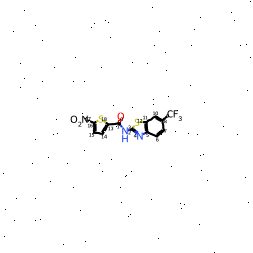 O=C(Nc1nc2ccc(C(F)(F)F)cc2s1)c1ccc([N+](=O)[O-])s1